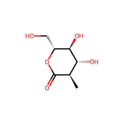 C[C@H]1C(=O)O[C@H](CO)[C@@H](O)[C@@H]1O